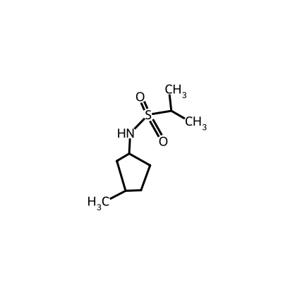 CC1CCC(NS(=O)(=O)C(C)C)C1